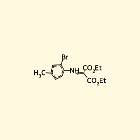 CCOC(=O)C(=CNc1ccc(C)cc1Br)C(=O)OCC